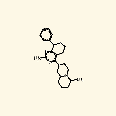 CC1CCCC2CN(c3nc(N)nc4c3CCCC4c3ccccc3)CCN12